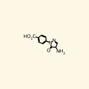 NC1C=NN(c2ccc(C(=O)O)cc2)C1=O